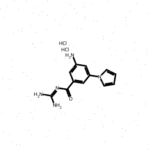 Cl.Cl.NC(N)=NC(=O)c1cc(N)cc(-n2cccc2)c1